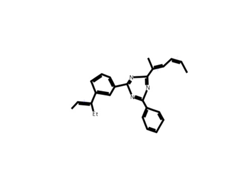 C/C=C\C=C(/C)c1nc(-c2ccccc2)nc(-c2cccc(/C(=C/C)CC)c2)n1